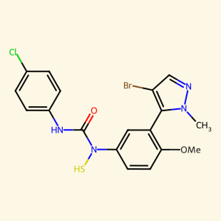 COc1ccc(N(S)C(=O)Nc2ccc(Cl)cc2)cc1-c1c(Br)cnn1C